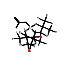 C=C(C)[CH2][Sn]([O]C(C(F)(F)F)(C(F)(F)F)C(F)(F)F)([O]C(C(F)(F)F)(C(F)(F)F)C(F)(F)F)[O]C(C(F)(F)F)(C(F)(F)F)C(F)(F)F